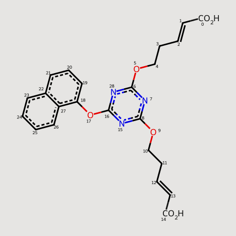 O=C(O)C=CCCOc1nc(OCCC=CC(=O)O)nc(Oc2cccc3ccccc23)n1